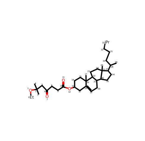 CCOC(C)(C)CC(=O)CCC(=O)OC1CCC2(C)C(=CCC3C2CCC2(C)C(C(C)CCCC(C)C)CCC32)C1